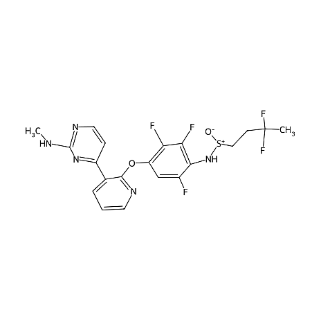 CNc1nccc(-c2cccnc2Oc2cc(F)c(N[S+]([O-])CCC(C)(F)F)c(F)c2F)n1